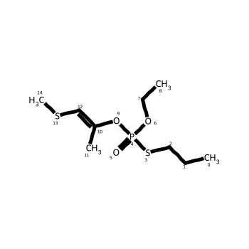 CCCSP(=O)(OCC)OC(C)=CSC